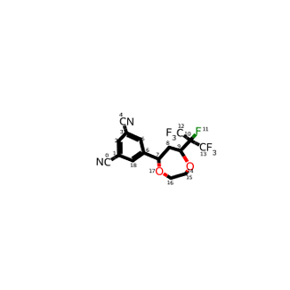 N#Cc1cc(C#N)cc(C2CC(C(F)(C(F)(F)F)C(F)(F)F)OCCO2)c1